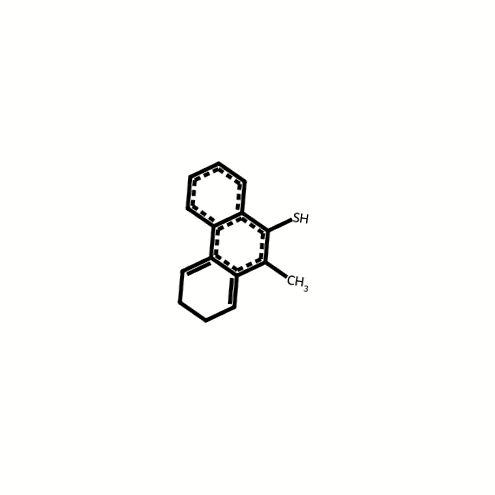 Cc1c(S)c2ccccc2c2c1=CCCC=2